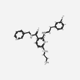 O=C(NCc1cccnc1)c1ccc(NCCO)nc1NCCc1cccc(F)c1